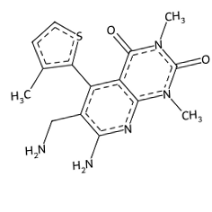 Cc1ccsc1-c1c(CN)c(N)nc2c1c(=O)n(C)c(=O)n2C